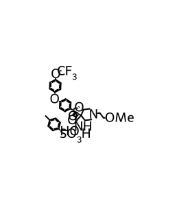 COCCN1CCC(C(=O)NO)(S(=O)(=O)c2ccc(Oc3ccc(OC(F)(F)F)cc3)cc2)CC1.Cc1ccc(S(=O)(=O)O)cc1